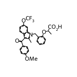 COc1ccc(C(=O)c2c(C)n(Cc3ccccc3O[C@H](C)C(=O)O)c3cc(OC(F)(F)F)ccc23)cc1